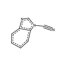 N#Cn1cnc2ccccc21